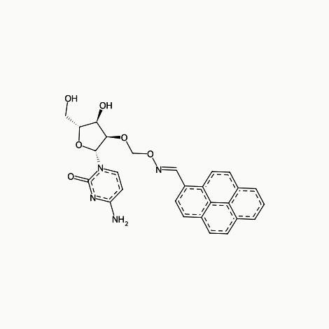 Nc1ccn([C@@H]2O[C@H](CO)[C@@H](O)[C@H]2OCON=Cc2ccc3ccc4cccc5ccc2c3c45)c(=O)n1